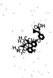 CCCCO[C@@H](c1cc(COc2cccc([C@@H](CC(=O)O)C3CC3)c2)ccc1-c1cc(OC)ccc1F)C(C)(C)C